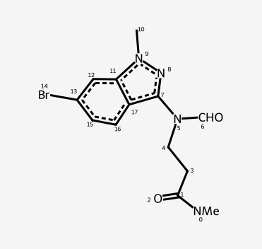 CNC(=O)CCN(C=O)c1nn(C)c2cc(Br)ccc12